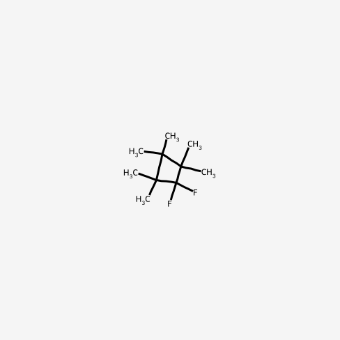 CC1(C)C(C)(C)C(F)(F)C1(C)C